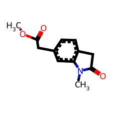 COC(=O)Cc1ccc2c(c1)N(C)C(=O)C2